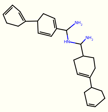 NC(NC(N)C1CC=C(C2CC=CCC2)CC1)C1=CCC(C2=CC=CCC2)C=C1